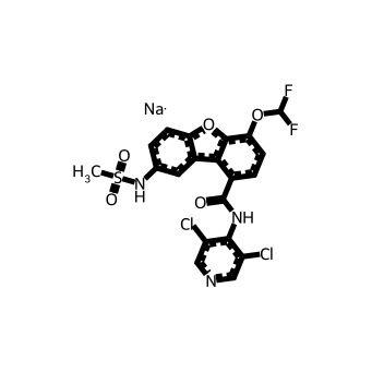 CS(=O)(=O)Nc1ccc2oc3c(OC(F)F)ccc(C(=O)Nc4c(Cl)cncc4Cl)c3c2c1.[Na]